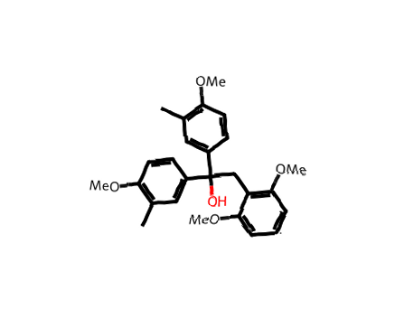 COc1ccc(C(O)(Cc2c(OC)c[c]cc2OC)c2ccc(OC)c(C)c2)cc1C